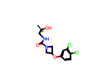 C[C@@H](O)CNC(=O)N1CC(Oc2ccc(Cl)c(Cl)c2)C1